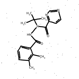 Cc1cccc(C(=O)NN(C(=O)c2ccncn2)C(C)(C)C)c1C